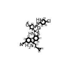 CO[C@@H]1C[C@H](C(=O)Nc2cc(C(N)(CCC3CC3)c3cccc(C#N)c3)ccc2F)N(C(=O)Nc2ccc(Cl)cn2)C1